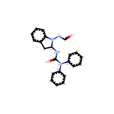 O=C[N]N1c2ccccc2CC1NC(=O)N(c1ccccc1)c1ccccc1